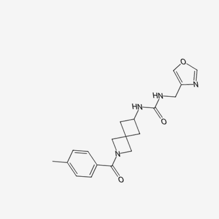 Cc1ccc(C(=O)N2CC3(CC(NC(=O)NCc4cocn4)C3)C2)cc1